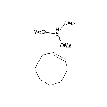 C1=CCCCCCC1.CO[SiH](OC)OC